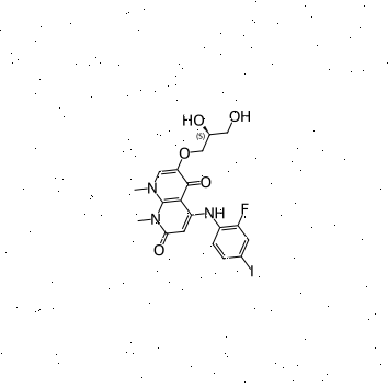 Cn1cc(OC[C@@H](O)CO)c(=O)c2c(Nc3ccc(I)cc3F)cc(=O)n(C)c21